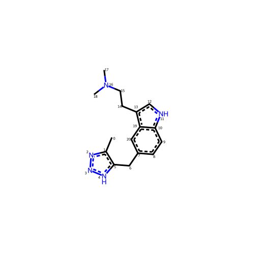 Cc1nn[nH]c1Cc1ccc2[nH]cc(CCN(C)C)c2c1